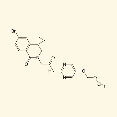 COCOc1cnc(NC(=O)CN2CC3(CC3)c3cc(Br)ccc3C2=O)nc1